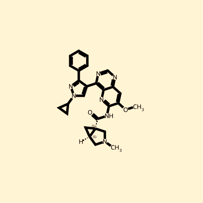 COc1cc2ncnc(-c3cn(C4CC4)nc3-c3ccccc3)c2nc1NC(=O)[C@@]12C[C@@H]1CN(C)C2